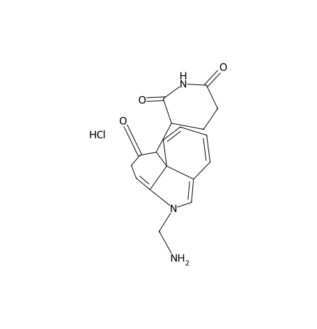 Cl.NCN1C=C2C=CC=CC23C1=CCC(=O)C3C1CCC(=O)NC1=O